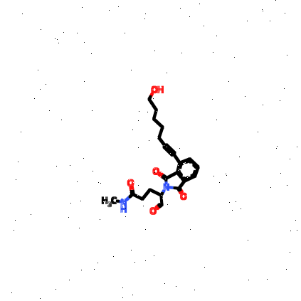 CNC(=O)CCC(C=O)N1C(=O)c2cccc(C#CCCCCCO)c2C1=O